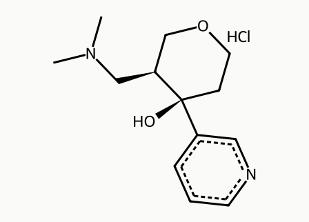 CN(C)C[C@H]1COCC[C@]1(O)c1cccnc1.Cl